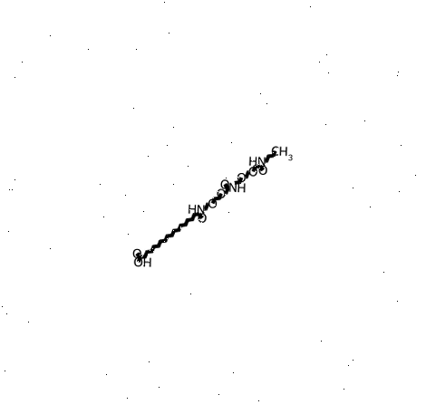 CCCCNC(=O)COCCOCCNC(=O)COCCOCCNC(=O)CCCCCCCCCCCCCCCCC(=O)O